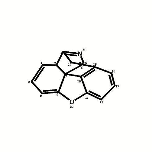 C1=CC2C3=NC=CC24C(=C1)Oc1cccc(c14)C3